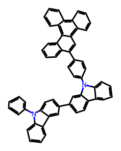 c1ccc(-n2c3ccccc3c3cc(-c4ccc5c6ccccc6n(-c6ccc(-c7cc8c9ccccc9c9ccccc9c8c8ccccc78)cc6)c5c4)ccc32)cc1